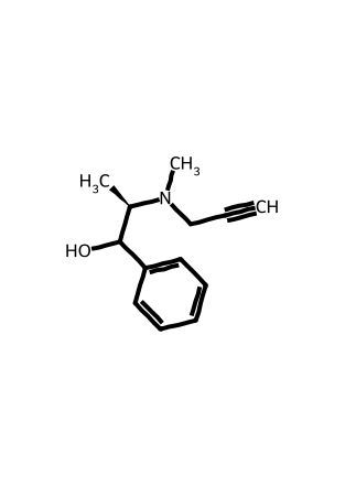 C#CCN(C)[C@H](C)C(O)c1ccccc1